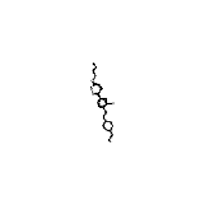 CCCCOc1ccc(-c2ccc(CCC3CCC(CCC)CC3)c(F)c2)nn1